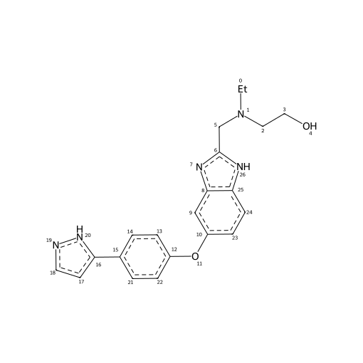 CCN(CCO)Cc1nc2cc(Oc3ccc(-c4ccn[nH]4)cc3)ccc2[nH]1